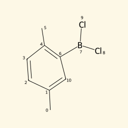 Cc1ccc(C)c(B(Cl)Cl)c1